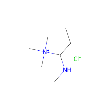 CCC(NC)[N+](C)(C)C.[Cl-]